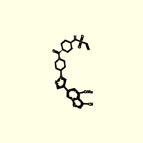 C=CS(=O)(=O)N[C@H]1CC[C@H](C(=O)N2CCC(n3cc(-c4cc(OC)c5c(C#N)cnn5c4)cn3)CC2)CC1